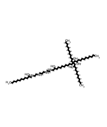 CCCCCCCCCCC(O)CNCCNCCCNCCNCC(O)CCCCCCCCCC(CC(O)CCCCCCCCCC)(CC(O)CCCCCCCCCC)CC(O)CCCCCCCCCC